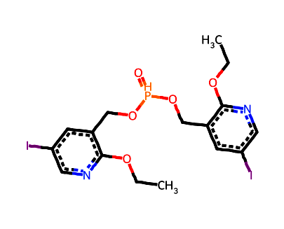 CCOc1ncc(I)cc1CO[PH](=O)OCc1cc(I)cnc1OCC